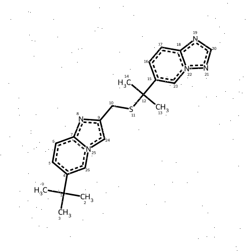 CC(C)(C)c1ccc2nc(CSC(C)(C)c3ccc4ncnn4c3)cn2c1